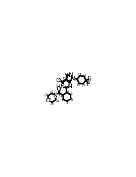 O=C(C1CCCCC1c1nc2c(cnn2C2CCC(F)(F)CC2)c(=O)[nH]1)N1CCOCC1